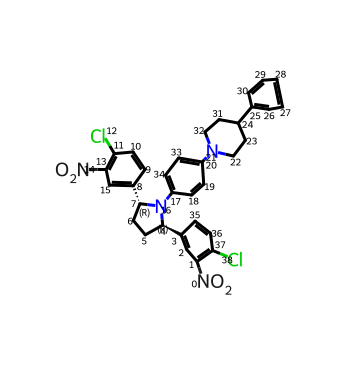 O=[N+]([O-])c1cc([C@H]2CC[C@H](c3ccc(Cl)c([N+](=O)[O-])c3)N2c2ccc(N3CCC(c4ccccc4)CC3)cc2)ccc1Cl